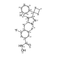 Cn1c(Sc2c(F)cc(C(=O)NO)cc2F)nnc1C1(c2ccccc2)CCC1